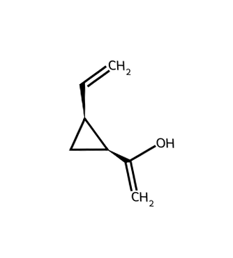 C=C[C@@H]1C[C@@H]1C(=C)O